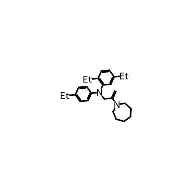 C=C(CN(c1ccc(CC)cc1)c1cc(CC)ccc1CC)N1CCCCCC1